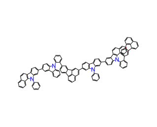 c1ccc(-n2c3cc(-c4cc5c6c(cccc6c4)-c4ccc(-c6ccccc6-n6c7ccccc7c7cc(-c8ccc9c%10ccc%11ccccc%11c%10n(-c%10ccccc%10)c9c8)ccc76)cc4-5)ccc3c3ccc(-c4ccc5c(c4)c4ccc6ccccc6c4n5-c4ccccc4-c4ccc5c(c4)-c4cccc6cccc-5c46)cc32)cc1